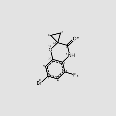 O=C1Nc2c(F)cc(Br)cc2OC12CC2